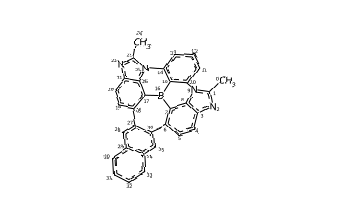 Cc1nc2ccc3c4c2n1-c1cccc2c1B4c1c(ccc4nc(C)n-2c14)-c1cc2ccccc2cc1-3